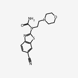 N#Cc1ccc2nc(N(CCN3CCOCC3)C(N)=O)sc2c1